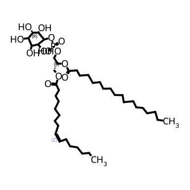 CCCCCC/C=C\CCCCCCCC(=O)OC[C@H](COP(=O)(O)OC1C(O)C(O)C(O)[C@@H](O)C1O)OC(=O)CCCCCCCCCCCCCCCCC